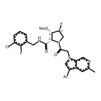 CO[C@H]1[C@@H](C(=O)NCc2cccc(Cl)c2F)N(C(=O)Cn2cc(C(C)=O)c3cc(C)ncc32)C[C@@H]1F